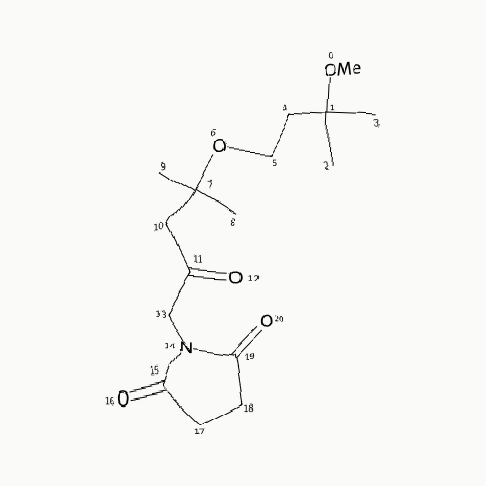 COC(C)(C)CCOC(C)(C)CC(=O)CN1C(=O)CCC1=O